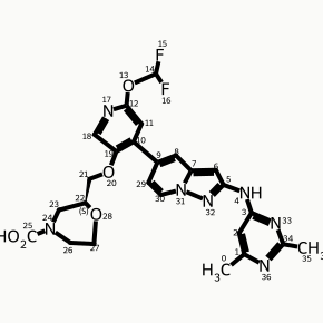 Cc1cc(Nc2cc3cc(-c4cc(OC(F)F)ncc4OC[C@@H]4CN(C(=O)O)CCO4)ccn3n2)nc(C)n1